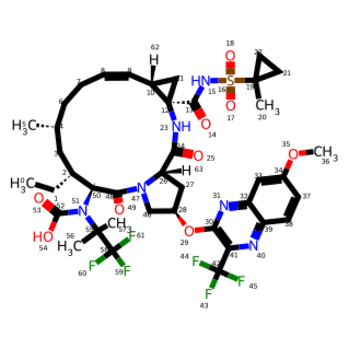 CC[C@@H]1C[C@H](C)CC/C=C\[C@@H]2C[C@@]2(C(=O)NS(=O)(=O)C2(C)CC2)NC(=O)[C@@H]2C[C@@H](Oc3nc4cc(OC)ccc4nc3C(F)(F)F)CN2C(=O)[C@H]1N(C(=O)O)C(C)(C)C(F)(F)F